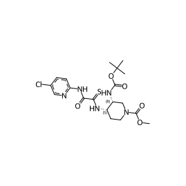 COC(=O)N1CC[C@H](NC(=S)C(=O)Nc2ccc(Cl)cn2)[C@H](NC(=O)OC(C)(C)C)C1